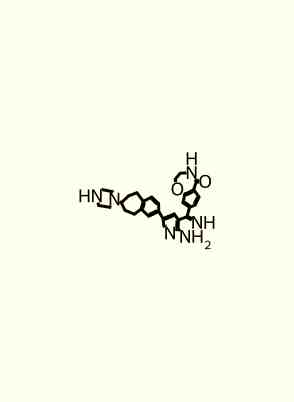 N=C(c1ccc2c(c1)OCCNC2=O)c1cc(-c2ccc3c(c2)CCC(N2CCNCC2)CC3)cnc1N